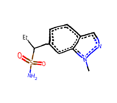 CCC(c1ccc2cnn(C)c2c1)S(N)(=O)=O